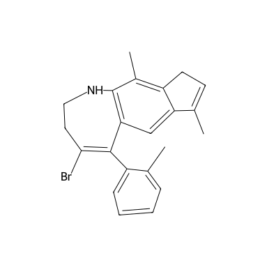 CC1=CCc2c1cc1c(c2C)NCCC(Br)=C1c1ccccc1C